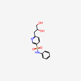 O=S(=O)(Nc1ccccc1)c1ccc(CC(O)CO)nc1